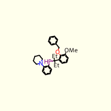 CCC(CC)(Pc1ccccc1N1CCCCC1)c1cccc(OC)c1OCc1ccccc1